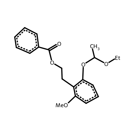 CCOC(C)Oc1cccc(OC)c1CCOC(=O)c1ccccc1